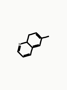 CC1=CCC2N=CC=CC2=C1